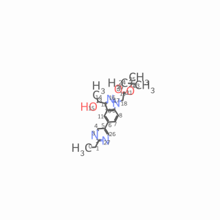 CCc1ncc(-c2ccc3c(c2)c(C(C)O)nn3CC(=O)OC(C)(C)C)cn1